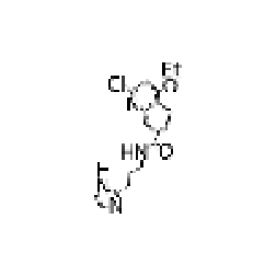 CCOc1cc(Cl)nc2cc(C(=O)NCCCc3ncc[nH]3)ccc12